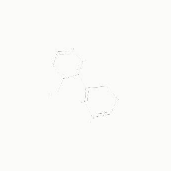 [CH2]c1ccccc1-c1cncnc1